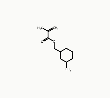 C=C(C)C(=O)OCC1CCCC(C)C1